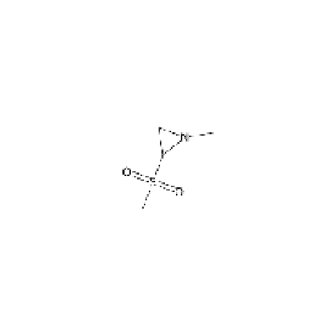 CN1CC1S(C)(=O)=O